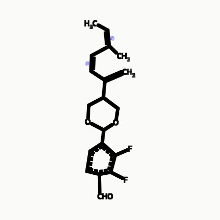 C=C(/C=C\C(C)=C/C)C1COC(c2ccc(C=O)c(F)c2F)OC1